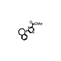 COC(=O)c1cncc(N2CCCCc3ccccc32)n1